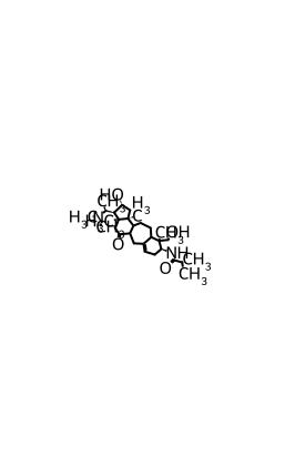 CC(C)C(=O)N[C@H]1CC=C2CC3C(=O)C[C@]4(C)[C@@H]([C@H](C)N(C)C)[C@H](O)C[C@@]4(C)C3CCC2[C@]1(C)CO